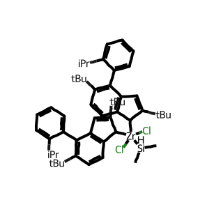 CC(C)c1ccccc1-c1c(C(C)(C)C)ccc2c1C=C(C(C)(C)C)[CH]2[Zr]([Cl])([Cl])([CH]1C(C(C)(C)C)=Cc2c1ccc(C(C)(C)C)c2-c1ccccc1C(C)C)[SiH](C)C